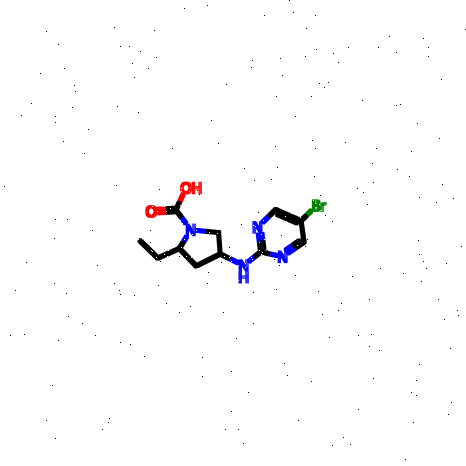 CCC1CC(Nc2ncc(Br)cn2)CN1C(=O)O